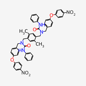 Cc1cc(CN(Cc2ccc(Oc3ccc([N+](=O)[O-])cc3)cc2)C(=O)Nc2ccccc2)c(C)cc1CN(Cc1ccc(Oc2ccc([N+](=O)[O-])cc2)cc1)C(=O)Nc1ccccc1